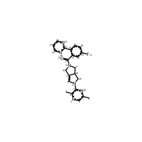 Cc1cnc(C)c(N2C=C3CN(C(=O)c4cc(F)ccc4-c4ncccn4)CC3C2)n1